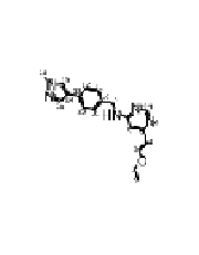 CCO/C=C/c1cc(NCc2ccc(-c3cnn(C)c3)cc2)ncn1